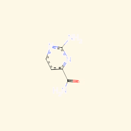 NC(=O)c1ccnc(N)n1